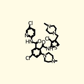 CN1CCN(Cc2csc(NC(=O)c3c(C(=O)Nc4ccc(Cl)cn4)cc(Cl)cc3N3CCN(C)CC3)c2Cl)CC1